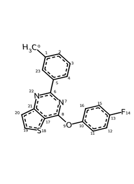 Cc1cccc(-c2nc(Oc3ccc(F)cc3)c3sccc3n2)c1